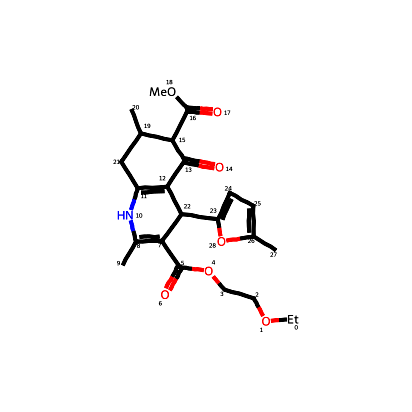 CCOCCOC(=O)C1=C(C)NC2=C(C(=O)C(C(=O)OC)C(C)C2)C1c1ccc(C)o1